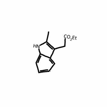 CCOC(=O)Cc1c(C)[nH]c2cc[c]cc12